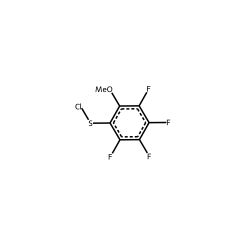 COc1c(F)c(F)c(F)c(F)c1SCl